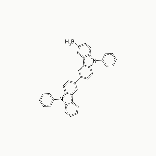 Bc1ccc2c(c1)c1cc(-c3ccc4c(c3)c3ccccc3n4-c3ccccc3)ccc1n2-c1ccccc1